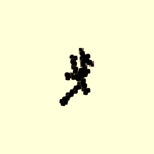 Cc1cc(N(CC(COC(C)C)OCCOCCOCC[N+](C)(C)C)CC(COC(C)C)OCCOCCN(C)C)ccc1/N=N/c1sc(C#N)c(C)c1C#N